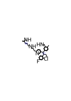 C=C(/C=C/CNCCCc1ccc(/C(=C(/CC)c2ccc(F)cc2Cl)c2ccc(C)c(C=N)c2)cn1)NC